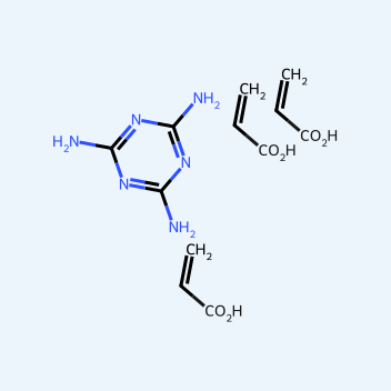 C=CC(=O)O.C=CC(=O)O.C=CC(=O)O.Nc1nc(N)nc(N)n1